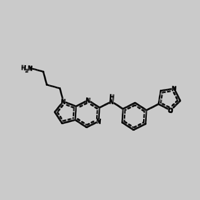 NCCCn1ccc2cnc(Nc3cccc(-c4cnco4)c3)nc21